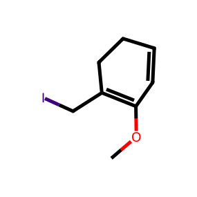 COC1=C(CI)CCC=C1